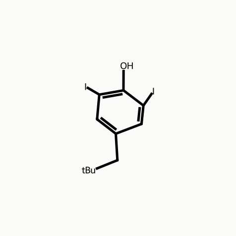 CC(C)(C)Cc1cc(I)c(O)c(I)c1